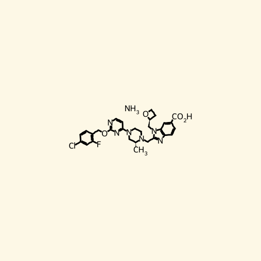 C[C@@H]1CN(c2ccnc(OCc3ccc(Cl)cc3F)n2)CCN1Cc1nc2ccc(C(=O)O)cc2n1C[C@@H]1CCO1.N